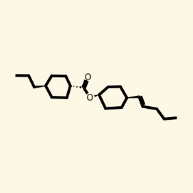 CCCC=C[C@H]1CC[C@H](OC(=O)[C@H]2CC[C@H](CCC)CC2)CC1